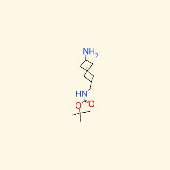 CC(C)(C)OC(=O)NCC1CC2(CC(N)C2)C1